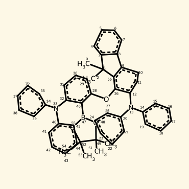 CC1(C)c2ccccc2-c2ccc(N(c3ccccc3)c3ccccc3)c(Oc3cccc(N(c4ccccc4)c4ccccc4)c3B3OC(C)(C)C(C)(C)O3)c21